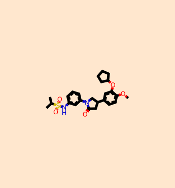 COc1ccc(C2CC(=O)N(c3cccc(NS(=O)(=O)C(C)C)c3)C2)cc1OC1CCCC1